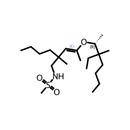 CCCCC(C)(/C=C(\C)O[C@H](C)C(C)(CC)CCCC)CNS(C)(=O)=O